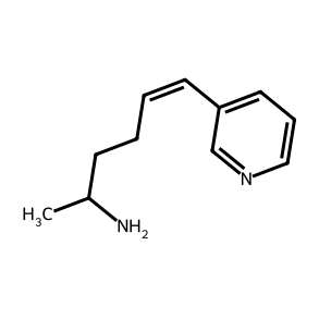 CC(N)CC/C=C\c1cccnc1